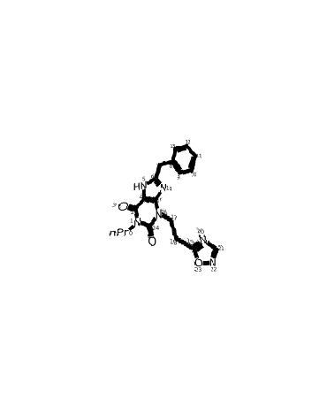 CCCn1c(=O)c2[nH]c(Cc3ccccc3)nc2n(CCc2ncno2)c1=O